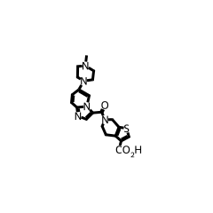 CN1CCN(c2ccc3ncc(C(=O)N4CCc5c(C(=O)O)csc5C4)n3c2)CC1